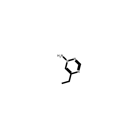 CCC1=CN(N)N=C=N1